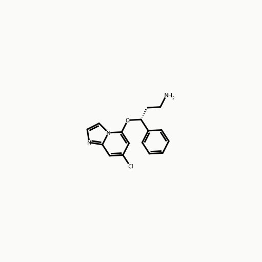 NCC[C@@H](Oc1cc(Cl)cc2nccn12)c1ccccc1